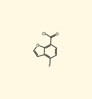 O=C(Cl)c1ccc(F)c2ccoc12